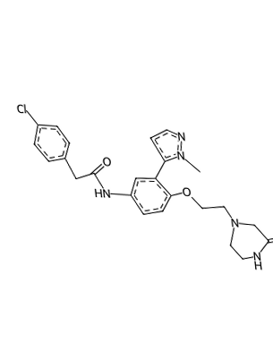 Cn1nccc1-c1cc(NC(=O)Cc2ccc(Cl)cc2)ccc1OCCN1CCNC(=O)C1